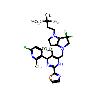 CCOC(=O)C1=C(CN2CC(F)(F)C3C2CCN3CCC(C)(C)C(=O)O)NC(c2nccs2)=NC1c1ccc(F)nc1C